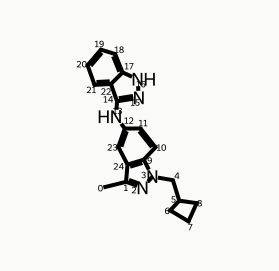 Cc1nn(CC2CCC2)c2ccc(Nc3n[nH]c4ccccc34)cc12